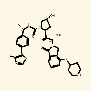 Cc1ncsc1-c1ccc([C@H](C)NC(=O)[C@@H]2C[C@@H](O)CN2C(=O)[C@@H](N2Cc3c(OC4CCNCC4)cccc3C2=O)C(C)(C)C)cc1